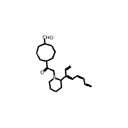 C=C/C=C\C=C(/C=C)C1CCCCN1CC(=O)C1CCCC(C=O)CCC1